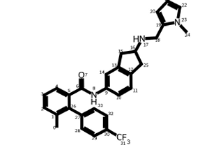 Cc1cccc(C(=O)Nc2ccc3c(c2)CC(NCc2cccn2C)C3)c1-c1ccc(C(F)(F)F)cc1